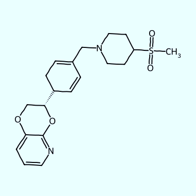 CS(=O)(=O)C1CCN(CC2=CCC([C@H]3COc4cccnc4O3)C=C2)CC1